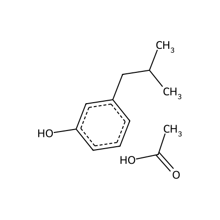 CC(=O)O.CC(C)Cc1cccc(O)c1